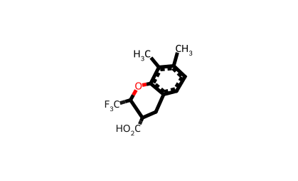 Cc1ccc2c(c1C)OC(C(F)(F)F)C(C(=O)O)C2